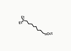 CCCCCCCCCCCCCCCCP(CC)CC